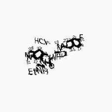 CCNCCN(C(=O)CNCC(=O)N(C)N1Cc2ccc(F)cc2C1)c1cc2c(cnn2C)cc1C.Cl